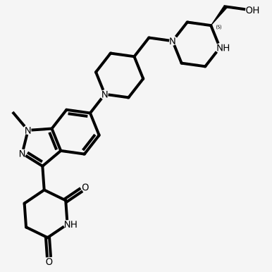 Cn1nc(C2CCC(=O)NC2=O)c2ccc(N3CCC(CN4CCN[C@H](CO)C4)CC3)cc21